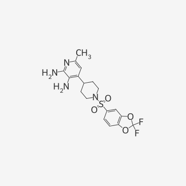 Cc1cc(C2CCN(S(=O)(=O)c3ccc4c(c3)OC(F)(F)O4)CC2)c(N)c(N)n1